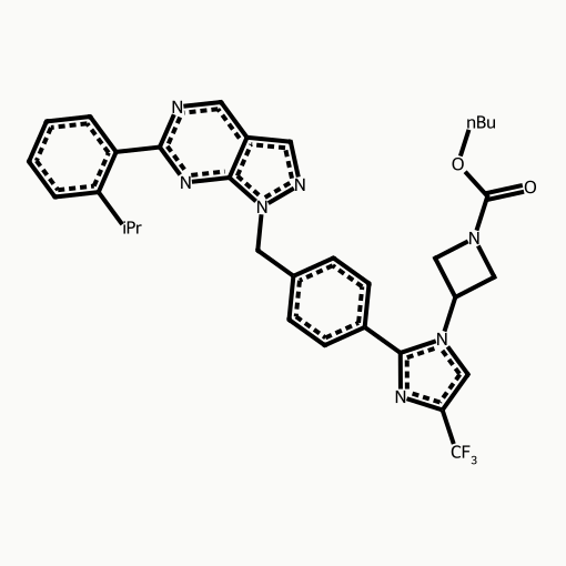 CCCCOC(=O)N1CC(n2cc(C(F)(F)F)nc2-c2ccc(Cn3ncc4cnc(-c5ccccc5C(C)C)nc43)cc2)C1